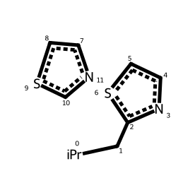 CC(C)Cc1nccs1.c1cscn1